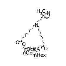 CCCCCCCCC(CCCCCC)COC(=O)CCCCCCCN(CCCCCCCC(=O)OCC(CCCCCC)CCCCCCCC)CCCn1ccnc1C